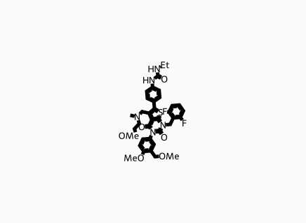 CCNC(=O)Nc1ccc(-c2sc3c(c2CN(C)CCOC)c(=O)n(-c2ccc(OC)c(COC)c2)c(=O)n3Cc2c(F)cccc2F)cc1